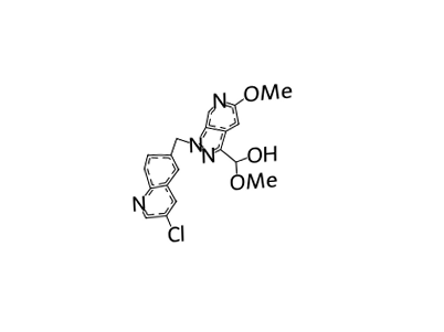 COc1cc2c(C(O)OC)nn(Cc3ccc4ncc(Cl)cc4c3)c2cn1